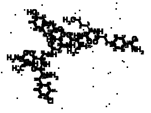 CCCC[C@H](NC(=O)CCc1ccc(C(N)=O)cc1)C(=O)N[C@H](C(=O)N[C@@H](CC(=O)NCC(NC(=O)[C@@H](N)Cc1ccc(Cl)cc1)C(=O)N[C@@H](C)C(N)=O)C(=O)N[C@H](Cc1ccc(O)cc1)C(N)=O)[C@@H](C)I